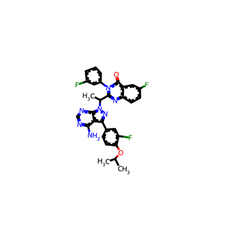 CC(C)Oc1ccc(-c2nn(C(C)c3nc4ccc(F)cc4c(=O)n3-c3cccc(F)c3)c3ncnc(N)c23)cc1F